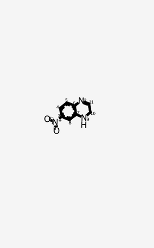 O=[N+]([O-])c1ccc2c(c1)NCC=N2